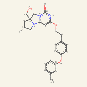 C[C@H]1CN2c3cc(OCCc4ccc(Oc5cccc(C(F)(F)F)c5)cc4)nc(=O)n3C[C@@]2(CO)C1